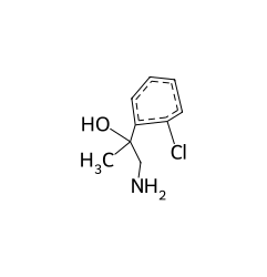 CC(O)(CN)c1ccccc1Cl